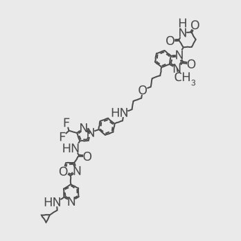 Cn1c(=O)n(C2CCC(=O)NC2=O)c2cccc(CCCOCCCNCc3ccc(-n4cc(NC(=O)c5coc(-c6ccnc(NCC7CC7)c6)n5)c(C(F)F)n4)cc3)c21